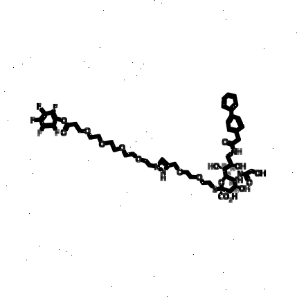 O=C(Cc1ccc(-c2ccccc2)cc1)NC[C@@H](O)[C@@H](O)[C@@H]1O[C@@](SCCOCCOCc2cn(CCOCCOCCOCCOCCC(=O)Oc3c(F)c(F)c(F)c(F)c3F)[nH]2)(C(=O)O)C[C@H](O)[C@H]1NC(=O)CO